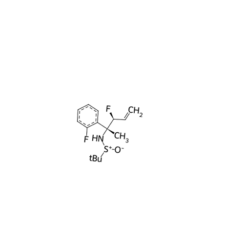 C=C[C@H](F)[C@](C)(N[S+]([O-])C(C)(C)C)c1ccccc1F